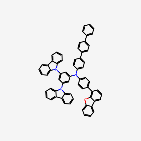 c1ccc(-c2ccc(-c3ccc(N(c4ccc(-c5cccc6c5oc5ccccc56)cc4)c4cc(-n5c6ccccc6c6ccccc65)cc(-n5c6ccccc6c6ccccc65)c4)cc3)cc2)cc1